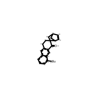 CCC(C)c1cccc2cc3c(cc12)C(=O)C1(CC3)CC2C=CC1C2